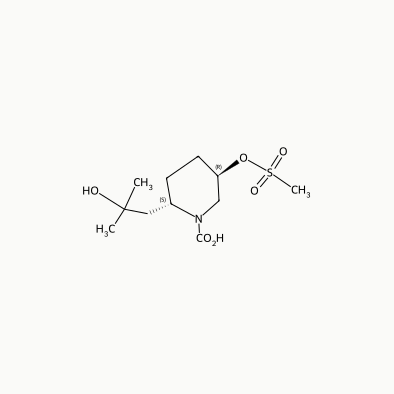 CC(C)(O)C[C@@H]1CC[C@@H](OS(C)(=O)=O)CN1C(=O)O